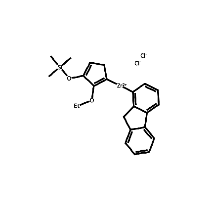 CCOC1=[C]([Zr+2][c]2cccc3c2Cc2ccccc2-3)CC=C1O[Si](C)(C)C.[Cl-].[Cl-]